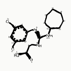 O=C(O)CNC(=Nc1cc(Cl)cc(Cl)c1)NC1CCCCCC1